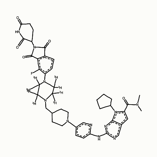 [2H]C1([2H])N(CC2CCN(c3ccc(Nc4ncc5cc(C(=O)N(C)C)n(C6CCCC6)c5n4)nc3)CC2)C([2H])([2H])C([2H])([2H])N(c2ccc3c(c2F)C(=O)N(C2CCC(=O)NC2=O)C3=O)C1([2H])[2H]